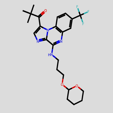 CC(C)(C)C(=O)c1cnc2c(NCCCOC3CCCCO3)nc3cc(C(F)(F)F)ccc3n12